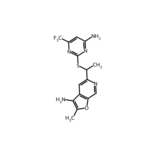 Cc1oc2cnc(C(C)Sc3nc(N)cc(C(F)(F)F)n3)cc2c1N